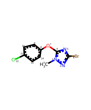 Cn1nc(Br)nc1Oc1ccc(Cl)cc1